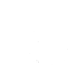 CC=CC1(c2ccccc2C#N)CCCCC1